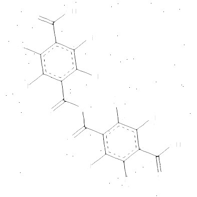 O=C(O)c1c(Cl)c(Cl)c(C(=O)OC(=O)c2c(Cl)c(Cl)c(C(=O)O)c(Cl)c2Cl)c(Cl)c1Cl